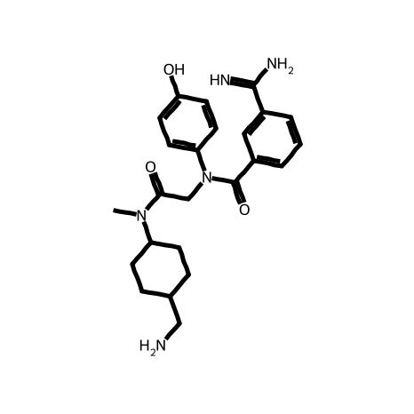 CN(C(=O)CN(C(=O)c1cccc(C(=N)N)c1)c1ccc(O)cc1)C1CCC(CN)CC1